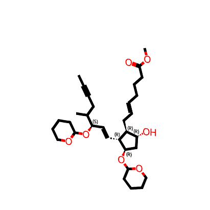 CC#CCC(C)[C@@H](C=C[C@@H]1[C@@H](CC=CCCCC(=O)OC)[C@H](O)C[C@H]1OC1CCCCO1)OC1CCCCO1